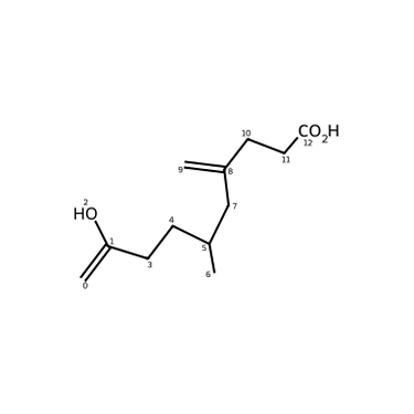 C=C(O)CCC(C)CC(=C)CCC(=O)O